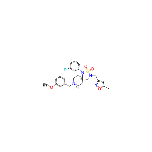 Cc1cc(CN2C[C@]3(CCN(Cc4cccc(OC(C)C)c4)[C@@H](C)C3)N(c3cccc(F)c3)S2(=O)=O)no1